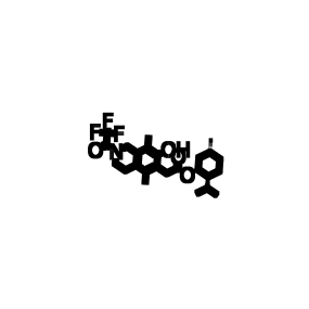 Cc1c(O)c(CC(=O)O[C@@H]2C[C@H](C)CC[C@H]2C(C)C)c(C)c2c1CN(C(=O)C(F)(F)F)CC2